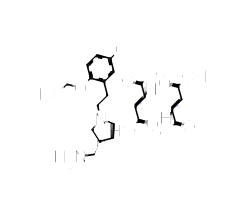 CCOc1ccc(Cl)cc1CCN1CC[C@@H](CN)C1.O=C(O)/C=C/C(=O)O.O=C(O)/C=C/C(=O)O